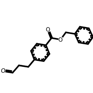 O=CCCc1ccc(C(=O)OCc2ccccc2)cc1